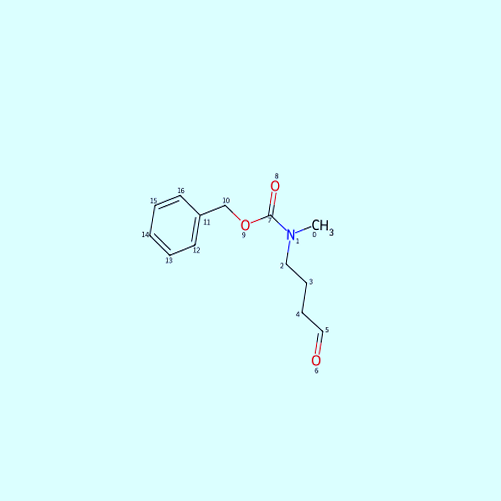 CN(CCCC=O)C(=O)OCc1ccccc1